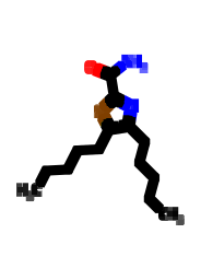 CCCCCc1nc(C(N)=O)sc1CCCCC